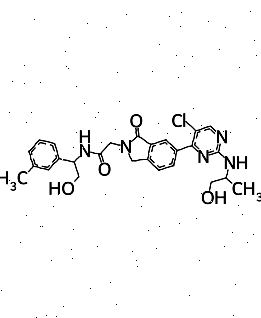 Cc1cccc(C(CO)NC(=O)CN2Cc3ccc(-c4nc(NC(C)CO)ncc4Cl)cc3C2=O)c1